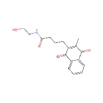 CC1=C(CCCC(=O)NCCO)C(=O)c2ccccc2C1=O